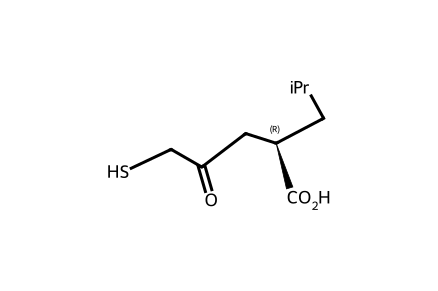 CC(C)C[C@H](CC(=O)CS)C(=O)O